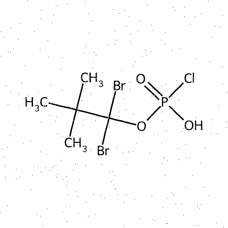 CC(C)(C)C(Br)(Br)OP(=O)(O)Cl